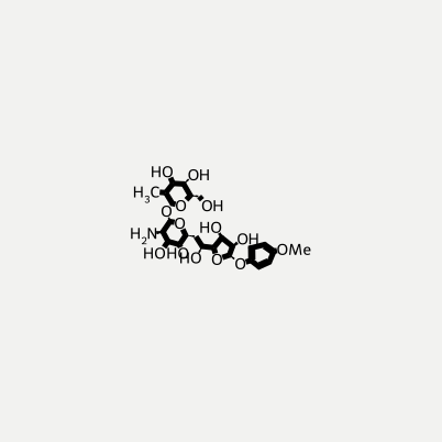 COc1ccc(O[C@@H]2OC([C@H](O)C[C@H]3O[C@@H](O[C@H]4O[C@@H](CO)[C@@H](O)C(O)C4C)[C@H](N)C(O)C3O)[C@@H](O)[C@H]2O)cc1